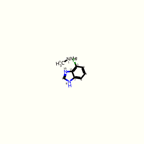 CNC.Fc1cccc2[nH]cnc12